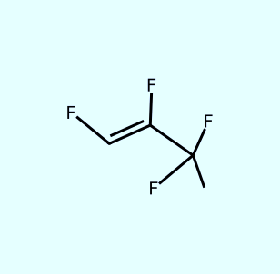 CC(F)(F)C(F)=CF